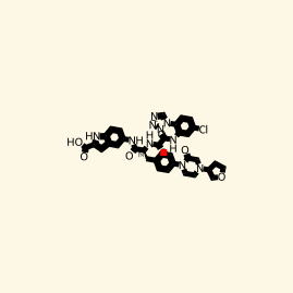 O=C(Nc1cc(Cl)ccc1-n1cnnn1)C(=O)N[C@@H](Cc1ccc(N2CCN(C3CCOC3)CC2=O)cc1)C(=O)Nc1ccc2[nH]c(C(=O)O)cc2c1